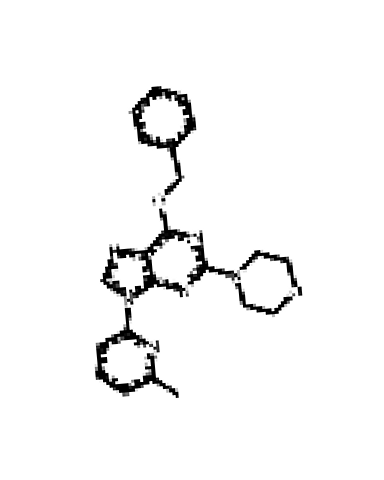 Cc1cccc(-n2cnc3c(OCc4ccccc4)nc(N4CCOCC4)nc32)n1